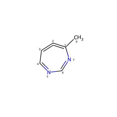 CC1=C=CC=NC=N1